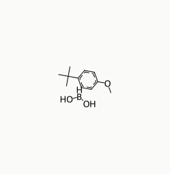 COc1ccc(C(C)(C)C)cc1.OBO